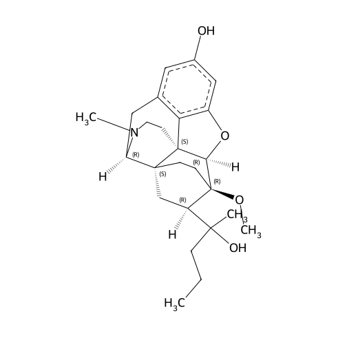 CCCC(C)(O)[C@H]1C[C@@]23CC[C@]1(OC)[C@@H]1Oc4cc(O)cc5c4[C@@]12CCN(C)[C@@H]3C5